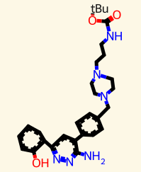 CC(C)(C)OC(=O)NCCCN1CCN(Cc2ccc(-c3cc(-c4ccccc4O)nnc3N)cc2)CC1